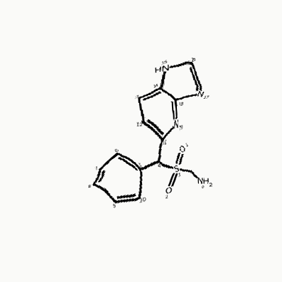 NS(=O)(=O)C(c1ccccc1)c1ccc2[nH]cnc2n1